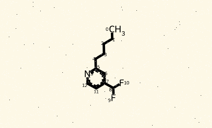 CCCCCc1cc(C(F)F)ccn1